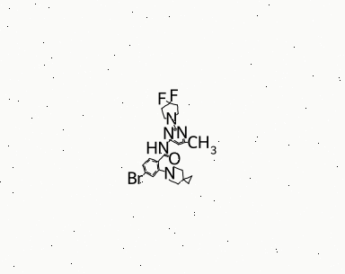 Cc1cc(NC(=O)c2ccc(Br)cc2N2CCC3(CC2)CC3)nc(N2CCC(F)(F)CC2)n1